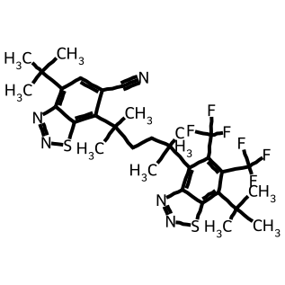 CC(C)(C)c1cc(C#N)c(C(C)(C)CCC(C)(C)c2c(C(F)(F)F)c(C(F)(F)F)c(C(C)(C)C)c3snnc23)c2snnc12